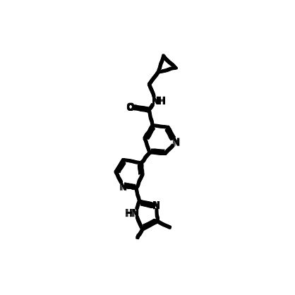 Cc1nc(-c2cc(-c3cncc(C(=O)NCC4CC4)c3)ccn2)[nH]c1C